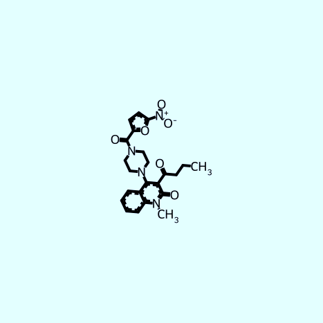 CCCC(=O)c1c(N2CCN(C(=O)c3ccc([N+](=O)[O-])o3)CC2)c2ccccc2n(C)c1=O